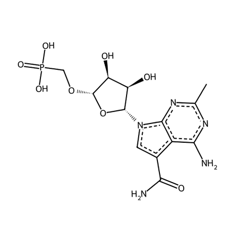 Cc1nc(N)c2c(C(N)=O)cn([C@@H]3O[C@H](OCP(=O)(O)O)[C@@H](O)[C@H]3O)c2n1